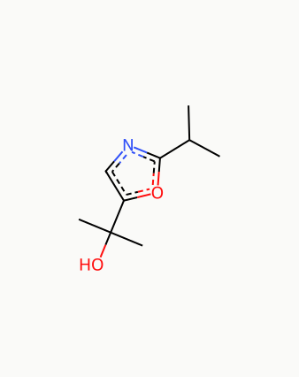 CC(C)c1ncc(C(C)(C)O)o1